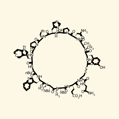 CCCC[C@@H]1NC(=O)[C@H](Cc2c[nH]c3ccccc23)NC(=O)[C@@H]2CCCN2C(=O)[C@H](CC(C)C)NC(=O)[C@H](Cc2cnc[nH]2)NC(=O)[C@@H]2CCCN2C(=O)[C@H](CC(N)=O)NC(=O)[C@H](C)N(C)C(=O)[C@H](Cc2ccc(O)cc2)NC(=O)CSC[C@@H](C(=O)NCC(N)=O)NC(=O)[C@H](CCC(=O)O)NC(=O)[C@H](CCCC)N(C)C(=O)[C@H](CCCC)N(C)C(=O)[C@H](Cc2csc3ccccc23)NC1=O